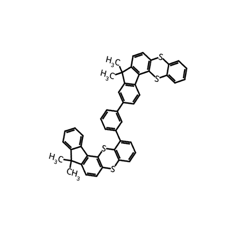 CC1(C)c2cc(-c3cccc(-c4cccc5c4Sc4c(ccc6c4-c4ccccc4C6(C)C)S5)c3)ccc2-c2c1ccc1c2Sc2ccccc2S1